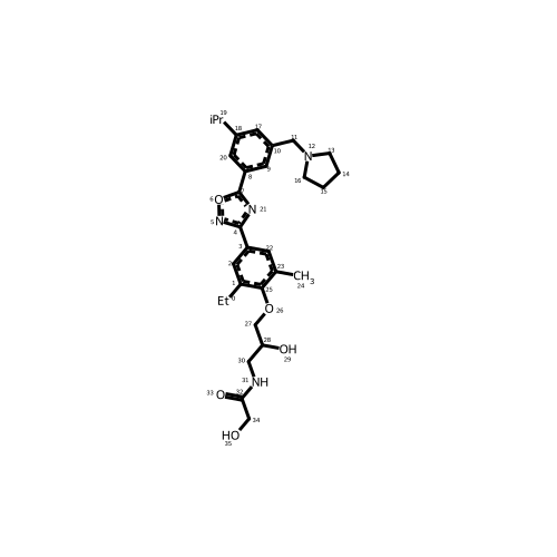 CCc1cc(-c2noc(-c3cc(CN4CCCC4)cc(C(C)C)c3)n2)cc(C)c1OCC(O)CNC(=O)CO